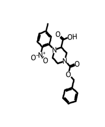 Cc1ccc([N+](=O)[O-])c(N2CCN(C(=O)OCc3ccccc3)CC2C(=O)O)c1